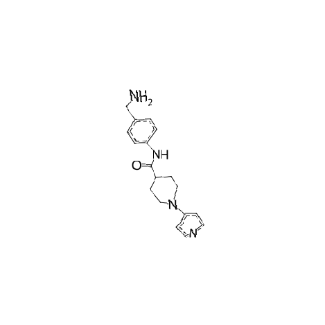 NCc1ccc(NC(=O)C2CCN(c3ccncc3)CC2)cc1